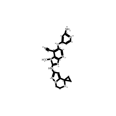 Cn1c(Nc2cc3n(n2)CCOC32CC2)nc2ncc(Oc3ccnc(N)c3)c(C#N)c21